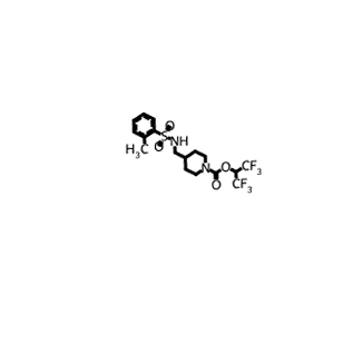 Cc1ccccc1S(=O)(=O)NCC1CCN(C(=O)OC(C(F)(F)F)C(F)(F)F)CC1